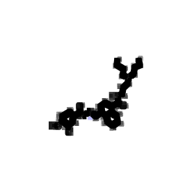 CCCCN(CCCC)CCCNC(=O)c1ccc(/C=N/NC(=O)c2ccc(O)c(Cl)c2)c2ccccc12